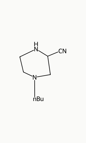 CCCCN1CCNC(C#N)C1